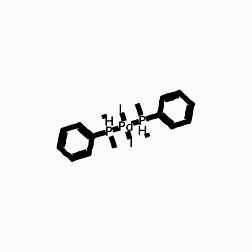 C[PH](C)(c1ccccc1)[Pd]([I])([I])[PH](C)(C)c1ccccc1